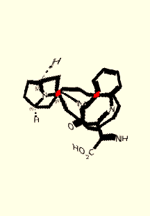 N=C(C(=O)O)c1nc2ccccc2n([C@H]2C[C@H]3CC[C@@H](C2)N3C2CC3CCCCC(C3)C2)c1=O